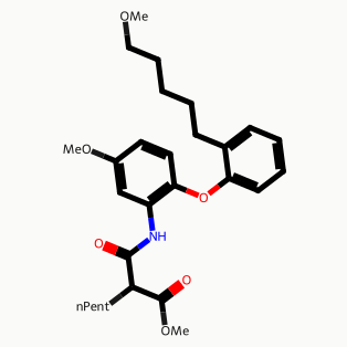 CCCCCC(C(=O)Nc1cc(OC)ccc1Oc1ccccc1CCCCCOC)C(=O)OC